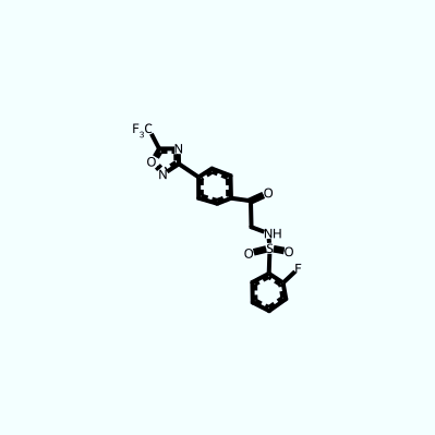 O=C(CNS(=O)(=O)c1ccccc1F)c1ccc(-c2noc(C(F)(F)F)n2)cc1